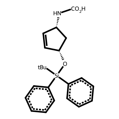 CC(C)(C)[Si](O[C@@H]1C=C[C@H](NC(=O)O)C1)(c1ccccc1)c1ccccc1